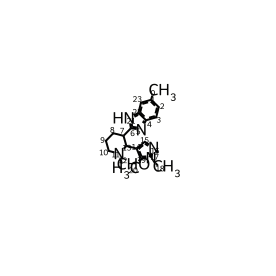 Cc1ccc2nc(C3CCCN(C=O)C3c3cnn(C)c3C)[nH]c2c1